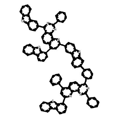 c1ccc(-c2nc(-c3cccc(-c4ccc5c(c4)sc4ccc(-c6cc(-c7cccc8c7oc7ccccc78)c7ccc8c(-c9ccc%10oc%11ccccc%11c%10c9)nc(-c9ccccc9)nc8c7n6)cc45)c3)c3ccc4c(-c5ccccc5)cc(-c5cccc6c5sc5ccccc56)nc4c3n2)cc1